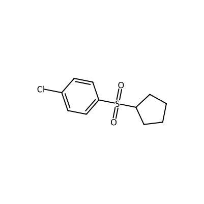 O=S(=O)(c1ccc(Cl)cc1)C1CCCC1